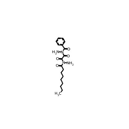 CCCCCCCCC(=O)N(N)C(=O)C(=O)N(N)C(=O)c1ccccc1